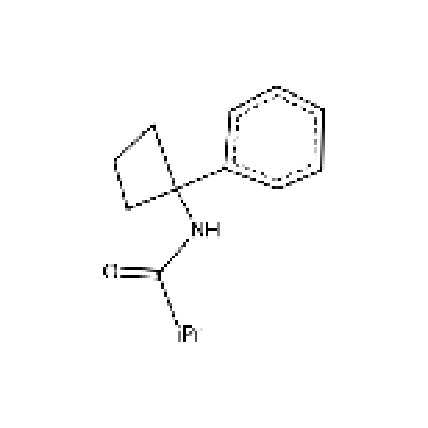 CC(C)C(=O)NC1(c2ccccc2)CCC1